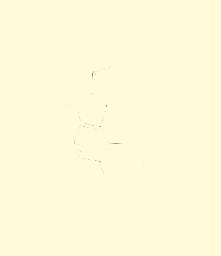 COc1ccc2oc(C(=O)O)cc2c1OC